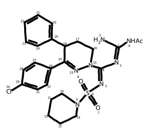 CC(=O)N/C(N)=N/C(=N/S(=O)(=O)N1CCCCC1)N1CCC(c2ccccc2)C(c2ccc(Cl)cc2)=N1